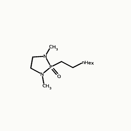 CCCCCCCCP1(=O)N(C)CCN1C